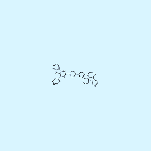 c1ccc2c(c1)-c1cccc(-c3ccc(-c4ccc(-c5nc(-c6ccncc6)c6sc7ccccc7c6n5)cc4)cc3)c1C21CCCCC1